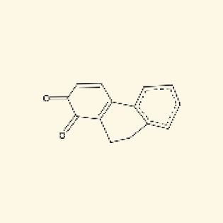 O=C1C=CC2=C(CCc3ccccc32)C1=O